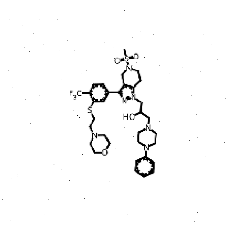 CS(=O)(=O)N1CCc2c(c(-c3ccc(C(F)(F)F)c(SCCN4CCOCC4)c3)nn2CC(O)CN2CCN(c3ccccc3)CC2)C1